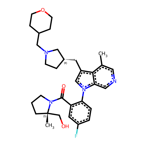 Cc1cncc2c1c(C[C@@H]1CCN(CC3CCOCC3)C1)cn2-c1ccc(F)cc1C(=O)N1CCC[C@@]1(C)CO